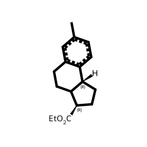 CCOC(=O)[C@@H]1CC[C@H]2c3ccc(C)cc3CCC12